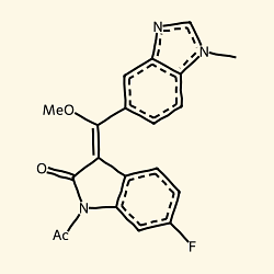 COC(=C1C(=O)N(C(C)=O)c2cc(F)ccc21)c1ccc2c(c1)ncn2C